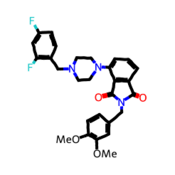 COc1ccc(CN2C(=O)c3cccc(N4CCN(Cc5ccc(F)cc5F)CC4)c3C2=O)cc1OC